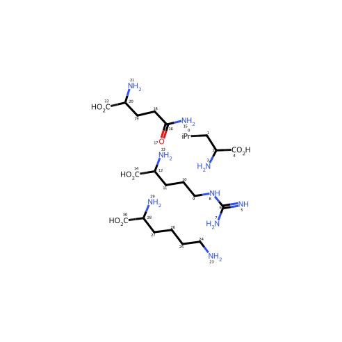 CC(C)CC(N)C(=O)O.N=C(N)NCCCC(N)C(=O)O.NC(=O)CCC(N)C(=O)O.NCCCCC(N)C(=O)O